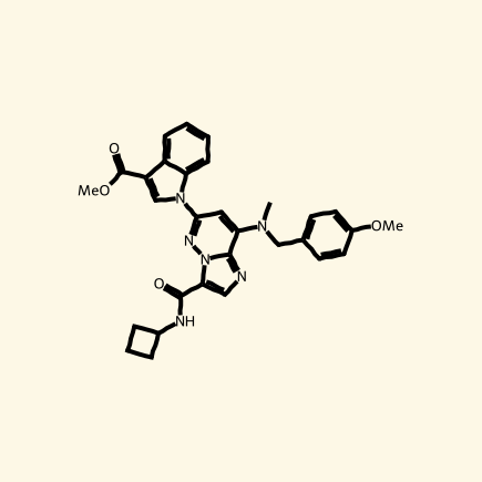 COC(=O)c1cn(-c2cc(N(C)Cc3ccc(OC)cc3)c3ncc(C(=O)NC4CCC4)n3n2)c2ccccc12